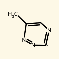 Cc1cn[c]nn1